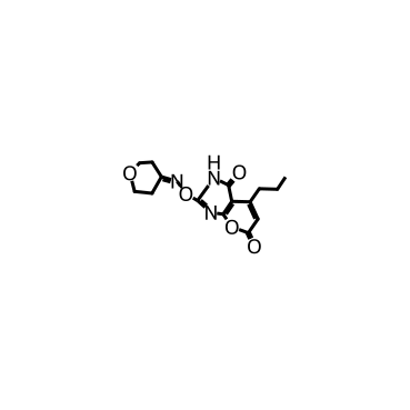 CCCc1cc(=O)oc2nc(ON=C3CCOCC3)[nH]c(=O)c12